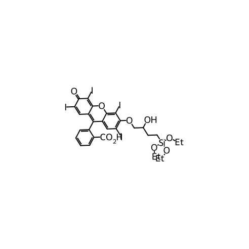 CCO[Si](CCC(O)COc1c(I)cc2c(-c3ccccc3C(=O)O)c3cc(I)c(=O)c(I)c-3oc2c1I)(OCC)OCC